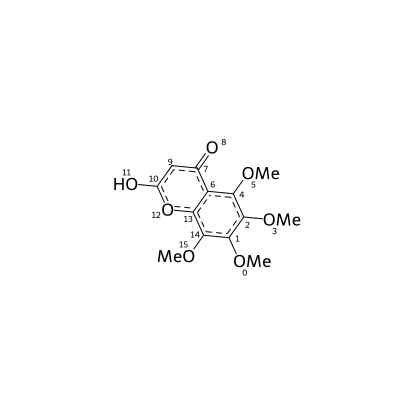 COc1c(OC)c(OC)c2c(=O)cc(O)oc2c1OC